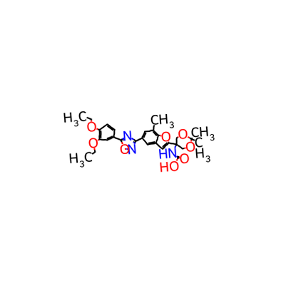 CCOc1ccc(-c2nc(-c3cc(C)c4oc(C5(NC(=O)O)COC(C)(C)OC5)cc4c3)no2)cc1OCC